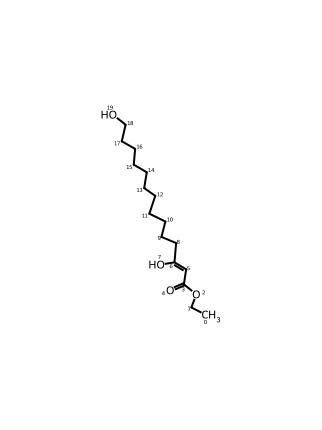 CCOC(=O)C=C(O)CCCCCCCCCCCO